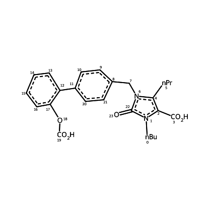 CCCCn1c(C(=O)O)c(CCC)n(Cc2ccc(-c3ccccc3OC(=O)O)cc2)c1=O